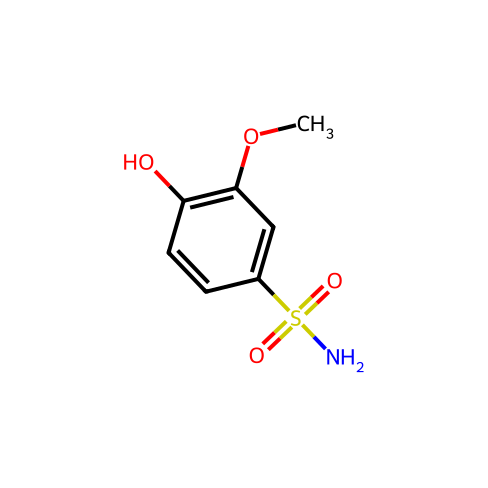 COc1cc(S(N)(=O)=O)ccc1O